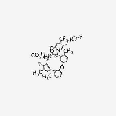 Cc1ccc2cc1[C@H](n1cc(CCN3CC(F)C3)c(C(F)(F)F)cc1=O)C(=O)N[C@@H](CC(=O)O)c1cc(cc(C)c1F)-c1c(C)cccc1O2